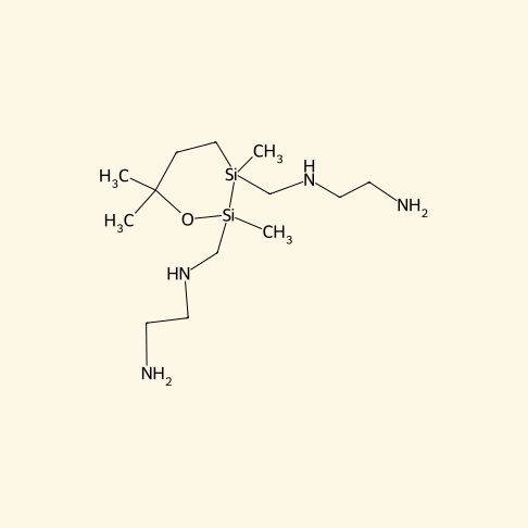 CC1(C)CC[Si](C)(CNCCN)[Si](C)(CNCCN)O1